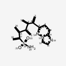 C=C(C(=C)C(=C)c1ccc2nccn2n1)C(=C)C(=C)S(N)(=O)=O